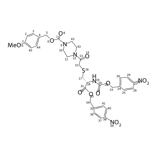 COc1ccc(COC(=O)N2CCN(C(=O)CSC[C@H](NC(=O)OCc3ccc([N+](=O)[O-])cc3)C(=O)OCc3ccc([N+](=O)[O-])cc3)CC2)cc1